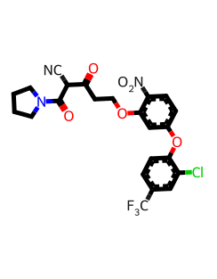 N#CC(C(=O)CCOc1cc(Oc2ccc(C(F)(F)F)cc2Cl)ccc1[N+](=O)[O-])C(=O)N1CCCC1